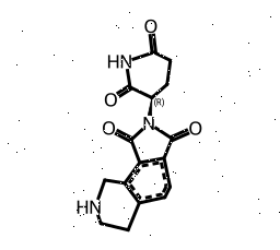 O=C1CC[C@@H](N2C(=O)c3ccc4c(c3C2=O)CNCC4)C(=O)N1